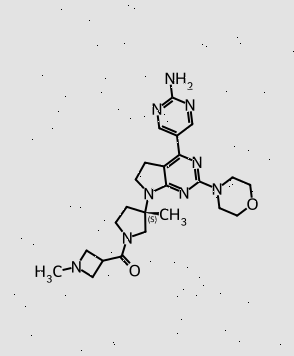 CN1CC(C(=O)N2CC[C@](C)(N3CCc4c(-c5cnc(N)nc5)nc(N5CCOCC5)nc43)C2)C1